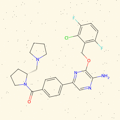 Nc1ncc(-c2ccc(C(=O)N3CCC[C@@H]3CN3CCCC3)cc2)nc1OCc1c(F)ccc(F)c1Cl